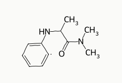 CC(Nc1[c]cccc1)C(=O)N(C)C